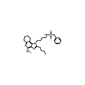 CCCCc1nc2c(N)nc3c(c2n1CCCCNS(=O)(=O)Cc1ccccc1)CCCC3